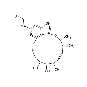 CCNc1cc(O)c2c(c1)C#CCC(O)[C@H](O)C(O)/C=C\[C@@H](C)C(C)OC2=O